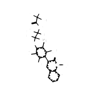 CCC(C)(C)C(=O)OC(C)(C)C(C)(C)Oc1c(C)c(C)c(-c2cc3ccccc3n(C)c2=O)c(C)c1C